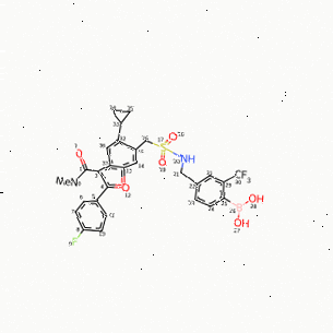 CNC(=O)c1c(-c2ccc(F)cc2)oc2cc(CS(=O)(=O)NCc3ccc(B(O)O)c(C(F)(F)F)c3)c(C3CC3)cc12